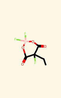 CCC1(F)C(=O)O[B-](F)(F)OC1=O